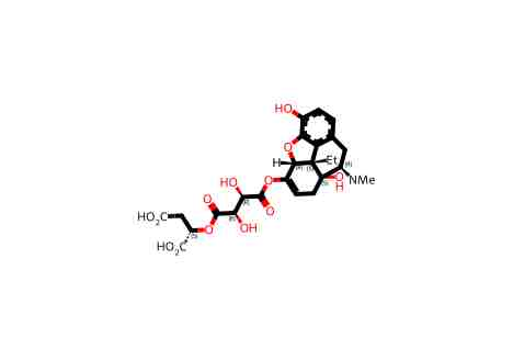 CC[C@]12c3c4ccc(O)c3O[C@H]1C(OC(=O)[C@H](O)[C@@H](O)C(=O)O[C@@H](CC(=O)O)C(=O)O)=CC[C@@]2(O)[C@H](NC)C4